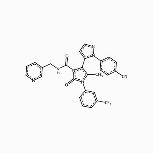 Cc1c(-c2ccnn2-c2ccc(C#N)cc2)n(C(=O)NCc2cccnc2)c(=O)n1-c1cccc(C(F)(F)F)c1